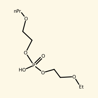 CCCOCCOP(=O)(O)OCCOCC